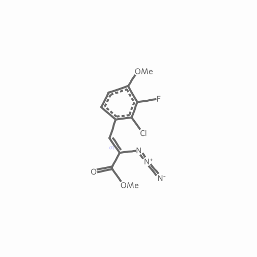 COC(=O)/C(=C/c1ccc(OC)c(F)c1Cl)N=[N+]=[N-]